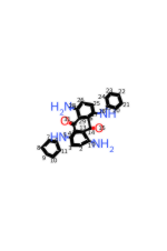 Nc1ccc(Nc2ccccc2)c2c1C(=O)c1c(Nc3ccccc3)ccc(N)c1C2=O